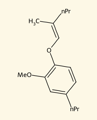 CCCC(C)=COc1ccc(CCC)cc1OC